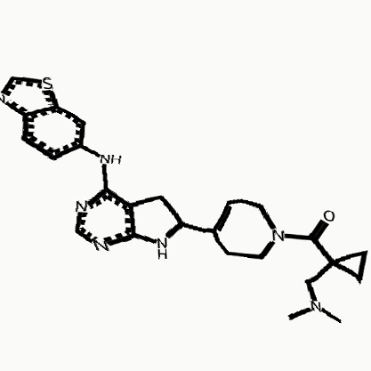 CN(C)CC1(C(=O)N2CC=C(C3Cc4c(Nc5ccc6ncsc6c5)ncnc4N3)CC2)CC1